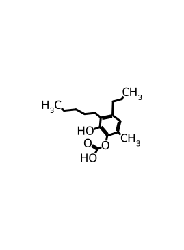 CCCCCc1c(CCC)cc(C)c(OC(=O)O)c1O